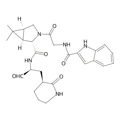 CC1(C)[C@@H]2[C@@H](C(=O)N[C@H](C=O)C[C@@H]3CCCNC3=O)N(C(=O)CNC(=O)c3cc4ccccc4[nH]3)C[C@@H]21